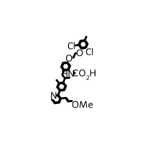 COCC=Cc1cccnc1-c1ccc(C(CNC(=O)O)Cc2ccc(OCCOc3c(Cl)cc(C)cc3Cl)cc2)c(C)c1